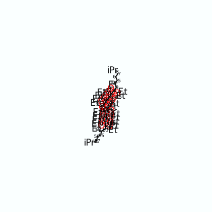 CCOC(CCCCCC(C)C)(OCC)C(OCC)(OCC)C(OCC)(OCC)C(OCC)(OCC)C(OCC)(OCC)OC(OCC)(OCC)C(OCC)(OCC)C(OCC)(OCC)C(OCC)(OCC)C(CCCCCC(C)C)(OCC)OCC